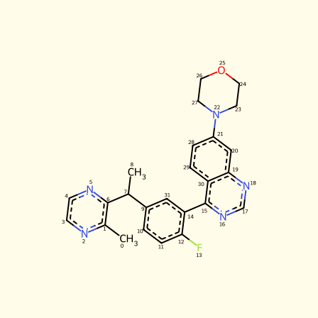 Cc1nccnc1C(C)c1ccc(F)c(-c2ncnc3cc(N4CCOCC4)ccc23)c1